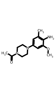 COc1cc(N2CCN(C(C)=O)CC2)cc(C)c1N